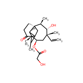 C=C[C@]1(C)C[C@@H](OC(=O)CO)[C@]2(C)C(C)C34C[C@@](CCC3=O)([C@@H]42)[C@@H](C)[C@@H]1O